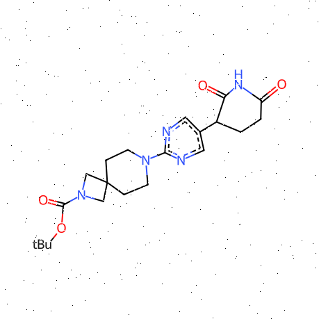 CC(C)(C)OC(=O)N1CC2(CCN(c3ncc(C4CCC(=O)NC4=O)cn3)CC2)C1